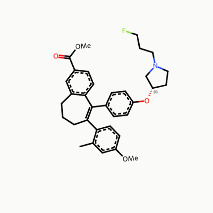 COC(=O)c1ccc2c(c1)CCCC(c1ccc(OC)cc1C)=C2c1ccc(O[C@H]2CCN(CCCF)C2)cc1